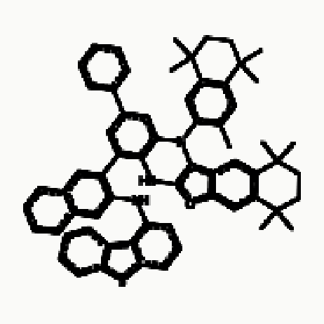 Cc1cc2c(cc1N1c3cc(-c4ccccc4)cc(-c4cc5ccccc5cc4Nc4cccc5sc6ccccc6c45)c3Bc3oc4cc5c(cc4c31)C(C)(C)CCC5(C)C)C(C)(C)CCC2(C)C